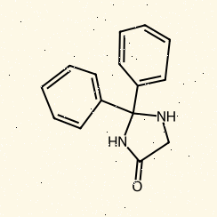 O=C1CNC(c2ccccc2)(c2ccccc2)N1